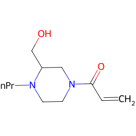 C=CC(=O)N1CCN(CCC)C(CO)C1